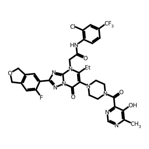 CCc1c(N2CCN(C(=O)c3ncnc(C)c3O)CC2)c(=O)n2nc(-c3cc4c(cc3F)COC4)nc2n1CC(=O)Nc1ccc(C(F)(F)F)cc1Cl